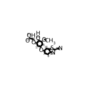 COc1cc(Oc2ccc3nc(C#N)sc3c2)cc(OCC(=O)O)c1O